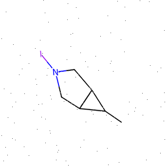 CC1C2CN(I)CC12